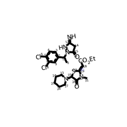 CC(c1ccc(Cl)c(Cl)c1)N1NC(=N)CC1=O.CCOC(=O)/C=C1\SC(N2CCCCC2)C(=O)N1C